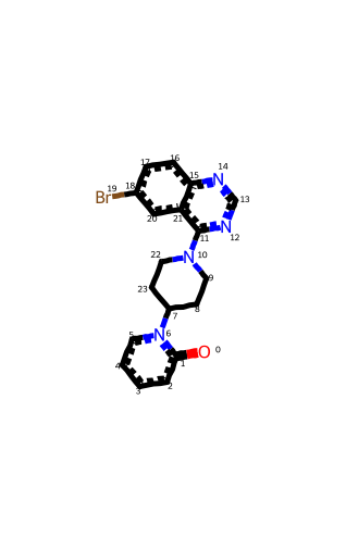 O=c1ccccn1C1CCN(c2ncnc3ccc(Br)cc23)CC1